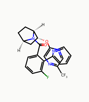 O=C(c1cccc(F)c1-c1ccccn1)N1[C@@H]2CC[C@H]1[C@H](Oc1cnc(C(F)(F)F)cn1)C2